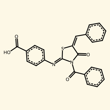 O=C(O)c1ccc(N=C2SC(=Cc3ccccc3)C(=O)N2C(=O)c2ccccc2)cc1